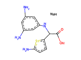 Nc1cc(N)cc(NC(C(=O)O)c2ccc(N)s2)c1.[NaH]